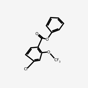 O=C(Oc1ccccc1)c1ccc(Cl)cc1OC(F)(F)F